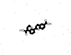 O=C(O)c1ccc2nc(-c3cccc4c(C(=O)O)ccnc34)ccc2c1